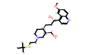 COc1ccc2nccc([C@@H](O)CC[C@@H]3CCN(CCSC(C)(C)C)C[C@@H]3CO)c2c1